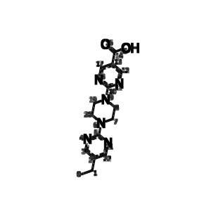 CCc1cnc(N2CCN(c3ncc(C(=O)O)cn3)CC2)nc1